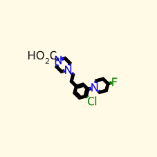 O=C(O)N1CCN(CCc2ccc(Cl)c(N3CCC(F)CC3)c2)CC1